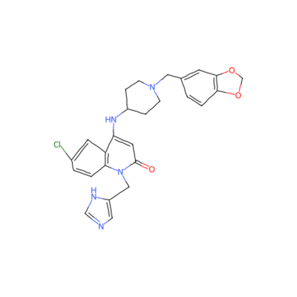 O=c1cc(NC2CCN(Cc3ccc4c(c3)OCO4)CC2)c2cc(Cl)ccc2n1Cc1cnc[nH]1